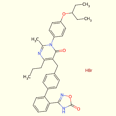 Br.CCCc1nc(C)n(-c2ccc(OC(CC)CC)cc2)c(=O)c1Cc1ccc(-c2ccccc2-c2noc(=O)[nH]2)cc1